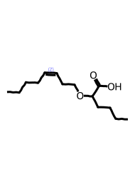 CCCC/C=C\CCOC(CCCC)C(=O)O